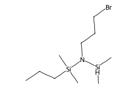 CCC[Si](C)(C)N(CCCBr)[SiH](C)C